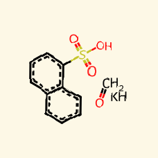 C=O.O=S(=O)(O)c1cccc2ccccc12.[KH]